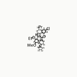 CCOc1cc(OC)ccc1C1=N[C@H](CCC(C)C)[C@H](c2ccc(Cl)cc2)N1C(=O)N1CCC(N2CCCC2)CC1